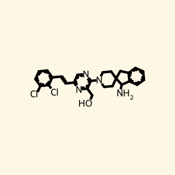 NC1c2ccccc2CC12CCN(c1ncc(C=Cc3cccc(Cl)c3Cl)nc1CO)CC2